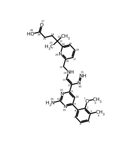 COc1c(C)cccc1-c1cc(/C(=C/NCc2cccc(C(C)(C)CCC(=O)O)n2)N=N)nc(N)n1